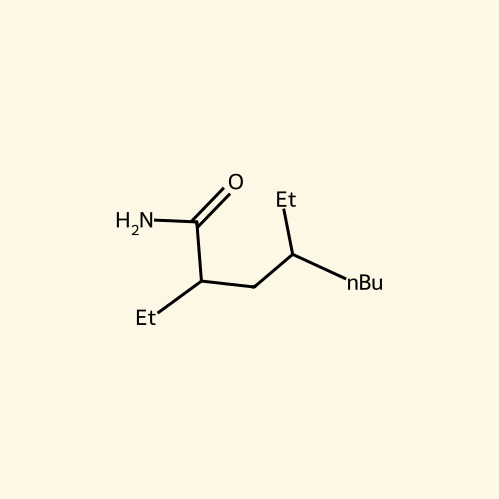 CCCCC(CC)CC(CC)C(N)=O